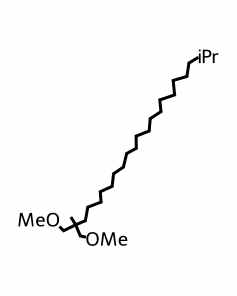 COCC(C)(CCCCCCCCCCCCCCCCCCC(C)C)COC